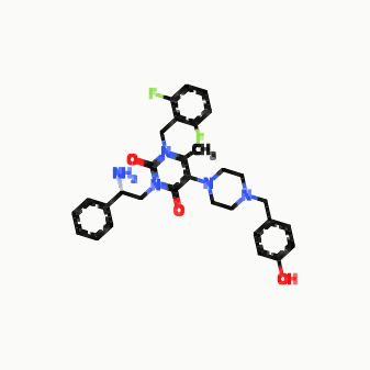 Cc1c(N2CCN(Cc3ccc(O)cc3)CC2)c(=O)n(C[C@@H](N)c2ccccc2)c(=O)n1Cc1c(F)cccc1F